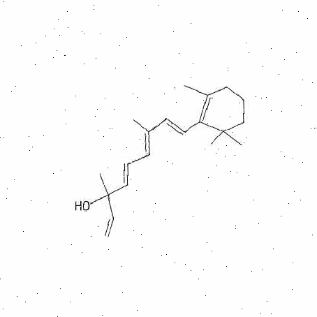 C=CC(C)(O)C=CC=C(C)C=CC1=C(C)CCCC1(C)C